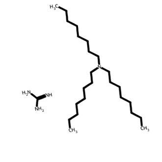 CCCCCCCCN(CCCCCCCC)CCCCCCCC.N=C(N)N